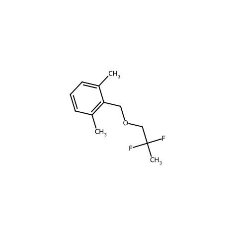 Cc1cccc(C)c1COCC(C)(F)F